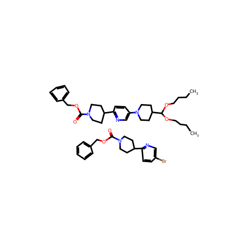 CCCCOC(OCCCC)C1CCN(c2ccc(C3CCN(C(=O)OCc4ccccc4)CC3)nc2)CC1.O=C(OCc1ccccc1)N1CCC(c2ccc(Br)cn2)CC1